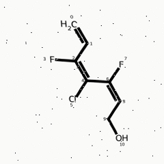 C=C/C(F)=C(Cl)\C(F)=C/CO